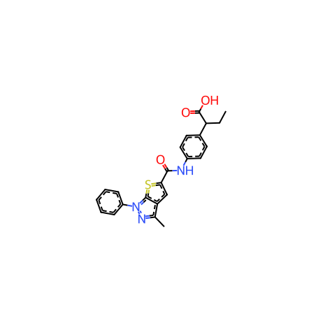 CCC(C(=O)O)c1ccc(NC(=O)c2cc3c(C)nn(-c4ccccc4)c3s2)cc1